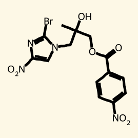 CC(O)(COC(=O)c1ccc([N+](=O)[O-])cc1)Cn1cc([N+](=O)[O-])nc1Br